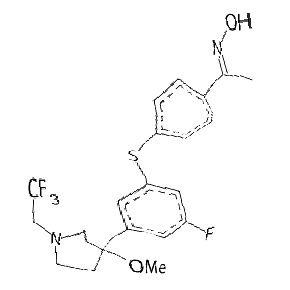 COC1(c2cc(F)cc(Sc3ccc(C(C)=NO)cc3)c2)CCN(CC(F)(F)F)C1